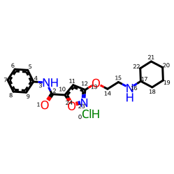 Cl.O=C(Nc1ccccc1)c1cc(OCCNC2CCCCC2)no1